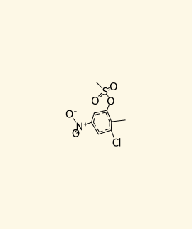 Cc1c(Cl)cc([N+](=O)[O-])cc1OS(C)(=O)=O